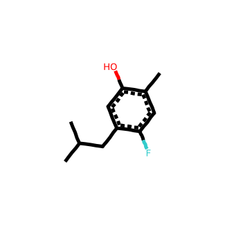 Cc1cc(F)c(CC(C)C)cc1O